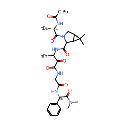 CCCC(NC(=O)C1C2C(CN1C(=O)[C@@H](NC(=O)OCC(C)C)C(C)(C)C)C2(C)C)C(=O)C(=O)NCC(=O)N[C@H](C(=O)N(C)C)c1ccccc1